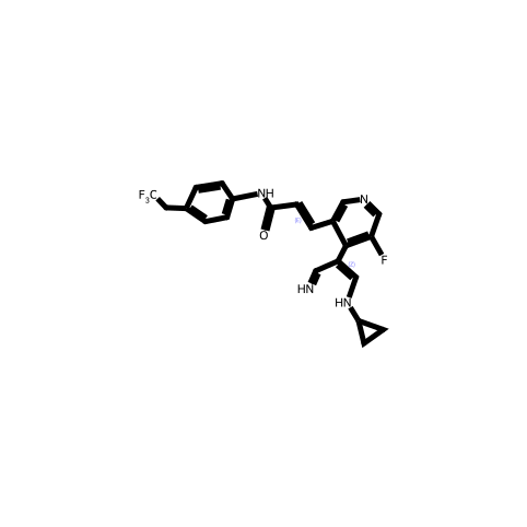 N=C/C(=C\NC1CC1)c1c(F)cncc1/C=C/C(=O)Nc1ccc(CC(F)(F)F)cc1